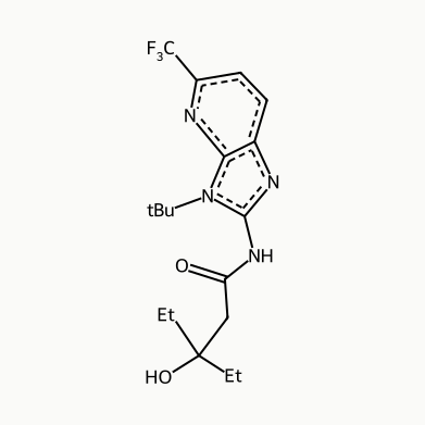 CCC(O)(CC)CC(=O)Nc1nc2ccc(C(F)(F)F)nc2n1C(C)(C)C